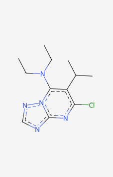 CCN(CC)c1c(C(C)C)c(Cl)nc2ncnn12